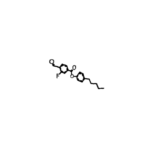 CCCCCc1ccc(OC(=O)c2ccc(C=O)c(F)c2)cc1